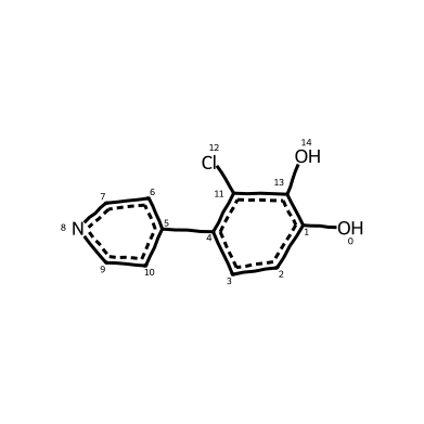 Oc1ccc(-c2ccncc2)c(Cl)c1O